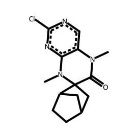 CN1C(=O)C2(CC3CCC2C3)N(C)c2nc(Cl)ncc21